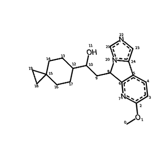 COc1ccc2c(n1)C(CC(O)C1CCC3(CC1)CC3)n1cncc1-2